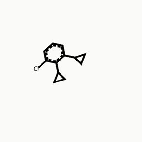 Clc1cccc(C2CC2)c1C1CC1